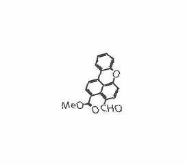 COC(=O)c1ccc2c3c(ccc(C=O)c13)Oc1ccccc1-2